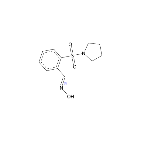 O=S(=O)(c1ccccc1/C=N/O)N1CCCC1